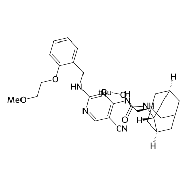 COCCOc1ccccc1CNc1ncc(C#N)c(NC[C@]23CC4C[C@H](C2)[C@@H](NC(=O)OC(C)(C)C)[C@@H](C4)C3)n1